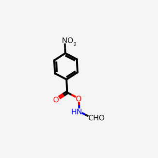 O=CNOC(=O)c1ccc([N+](=O)[O-])cc1